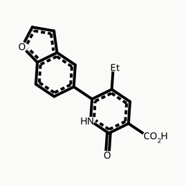 CCc1cc(C(=O)O)c(=O)[nH]c1-c1ccc2occc2c1